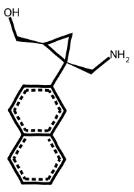 NC[C@]1(c2ccc3ccccc3c2)C[C@@H]1CO